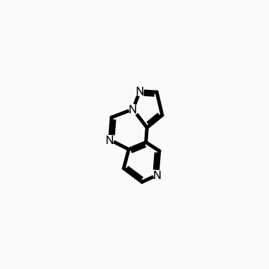 c1cc2ncn3nccc3c2cn1